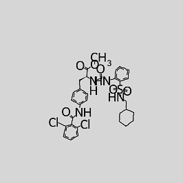 COC(=O)[C@H](Cc1ccc(NC(=O)c2c(Cl)cccc2Cl)cc1)NC(=O)Nc1ccccc1S(=O)(=O)NCC1CCCCC1